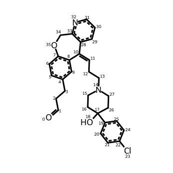 O=CCCc1ccc2c(c1)C(=CCCN1CCC(O)(c3ccc(Cl)cc3)CC1)c1cccnc1CO2